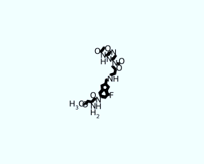 COCC(N)C(=O)Nc1cc(F)c2c(c1)CC(CNCCC1CN(c3cnc4c(n3)NC(=O)CO4)C(=O)O1)C2